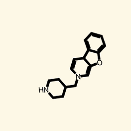 C1=CN(CC2CCNCC2)C=C2Oc3ccccc3C12